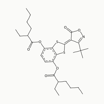 CCCCC(CC)C(=O)Oc1ccc(OC(=O)C(CC)CCCC)c2c1SC(=C1C(=O)ON=C1C(C)(C)C)S2